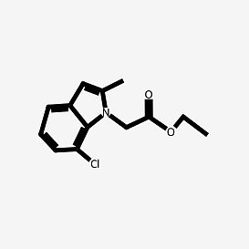 CCOC(=O)Cn1c(C)cc2cccc(Cl)c21